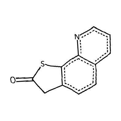 O=C1Cc2ccc3cccnc3c2S1